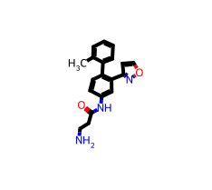 Cc1ccccc1-c1ccc(NC(=O)CCN)cc1-c1ccon1